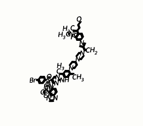 C=C(NC)C(CCC=O)c1ccc(N2CC(C(=C)N3CCN(C4CCN(c5cc(CC)c(Nc6ncc(S(=O)(=O)c7ccc(Br)cc7)c(Nc7ccc8nccnc8c7P(C)(C)=O)n6)cc5CC)CC4)CC3)C2)cc1F